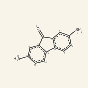 Bc1ccc2c(c1)C(=O)c1cc(B)ccc1-2